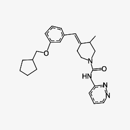 CC1CN(C(=O)Nc2cccnn2)CC/C1=C\c1cccc(OCC2CCCC2)c1